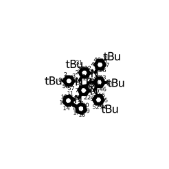 CC(C)(C)c1ccc(N2c3cc(-n4c5ccccc5c5ccccc54)cc4c3P3(=S)c5c2cc(C(C)(C)C)cc5N(c2ccc(C(C)(C)C)cc2)c2cc(C(C)(C)C)cc(c23)N4c2ccc(C(C)(C)C)cc2)cc1